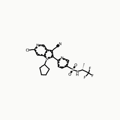 C[C@@H](NS(=O)(=O)c1ccc(-c2c(C#N)c3cnc(Cl)cc3n2C2CCCC2)nc1)C(F)(F)F